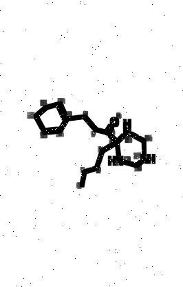 CCCCC1(C(=O)CCC2=CCCC=C2)NCNCN1